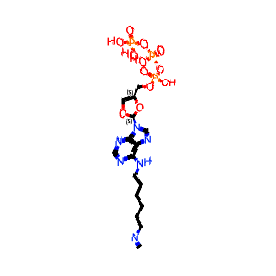 C=NCCCCCCNc1ncnc2c1ncn2[C@H]1OC[C@@H](COP(=O)(O)OP(=O)(O)OP(=O)(O)O)O1